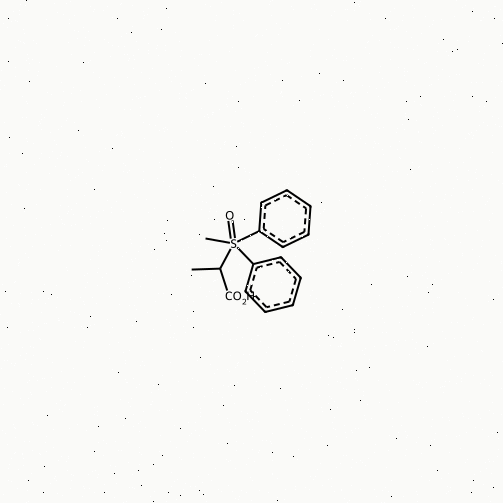 CC(C(=O)O)S(C)(=O)(c1ccccc1)c1ccccc1